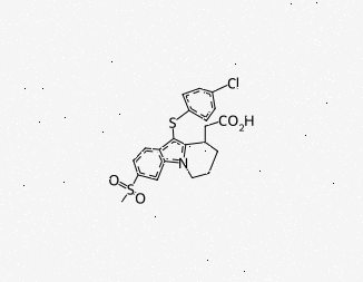 CS(=O)(=O)c1ccc2c(Sc3ccc(Cl)cc3)c3n(c2c1)CCCC3CC(=O)O